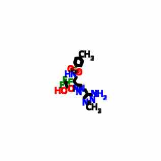 Cc1ccc(S(=O)(=O)NCCc2cn(Cc3cnc(C)nc3N)nn2)cc1.O=C(O)C(F)(F)F